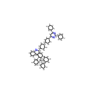 c1ccc(-c2cc(-c3ccc(-c4ccc(-c5nc6ccccc6c6c7c(ccc56)C(c5ccccc5)(c5ccccc5)c5ccccc5-7)cc4)cc3)nc(-c3ccccc3)n2)cc1